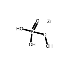 O=P(O)(O)OO.[Zr]